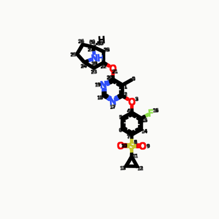 Cc1c(Oc2ccc(S(=O)(=O)C3CC3)cc2F)ncnc1OC1CC2CC[C@@H](C1)N2